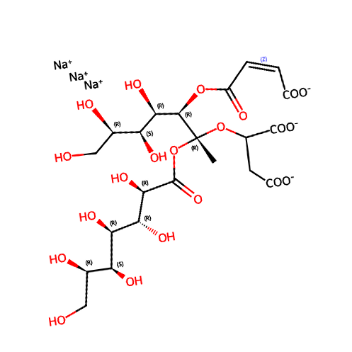 C[C@](OC(=O)[C@H](O)[C@H](O)[C@H](O)[C@@H](O)[C@H](O)CO)(OC(CC(=O)[O-])C(=O)[O-])[C@H](OC(=O)/C=C\C(=O)[O-])[C@H](O)[C@@H](O)[C@H](O)CO.[Na+].[Na+].[Na+]